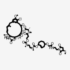 COc1cc2cc(c1Cl)CC(=O)C[C@H](OC(=O)[C@H](C)N(C)C(=O)CCOC(=O)N(C)CCN(C)C(=O)OC1/C=C/CC(OCC(=O)NCCN3C(=O)CC(SC)C3=O)CCC1)[C@]1(C)O[C@H]1[C@H](C)[C@@H]1C[C@@](O)(NC(=O)O1)[C@H](OC)/C=C/C=C(\C)C2